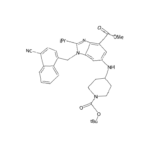 COC(=O)c1cc(NC2CCN(C(=O)OC(C)(C)C)CC2)cc2c1nc(C(C)C)n2Cc1ccc(C#N)c2ccccc12